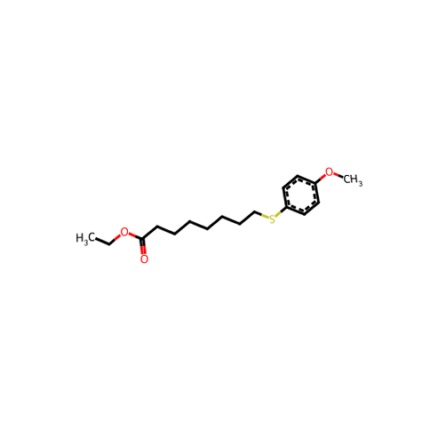 CCOC(=O)CCCCCCCSc1ccc(OC)cc1